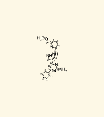 COCc1cccc(CN/C=C(\C=N)c2cc(-c3ccccc3)nc(N)n2)n1